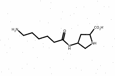 NCCCCCC(=O)NC1CNC(C(=O)O)C1